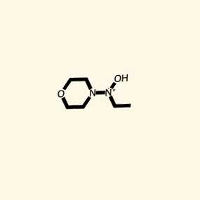 CC[N+](O)N1CCOCC1